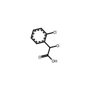 [O]C(C(=O)O)c1ccccc1Cl